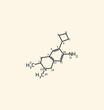 CC1Cc2cc(C3CCC3)c(N)cc2CN1C